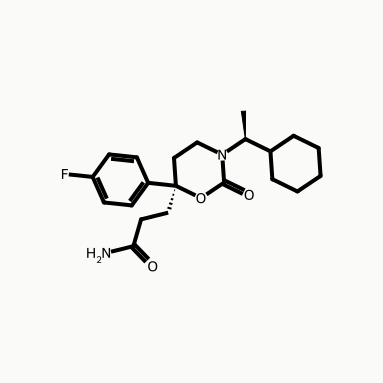 C[C@@H](C1CCCCC1)N1CC[C@](CCC(N)=O)(c2ccc(F)cc2)OC1=O